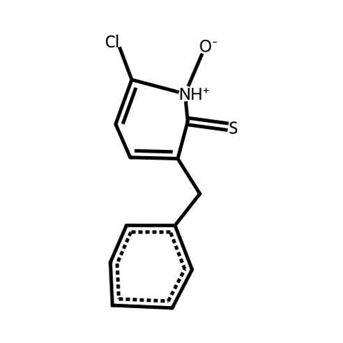 [O-][NH+]1C(=S)C(Cc2ccccc2)=CC=C1Cl